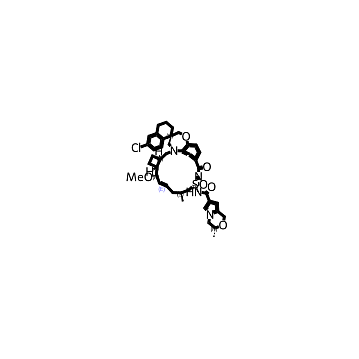 CO[C@H]1/C=C/C[C@H](C)C[S@@](=O)(NC(=O)c2cc3n(c2)C[C@@H](C)OC3)=NC(=O)c2ccc3c(c2)N(C[C@@H]2CC[C@H]21)C[C@@]1(CCCc2cc(Cl)ccc21)CO3